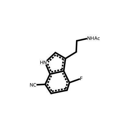 CC(=O)NCCc1c[nH]c2c(C#N)ccc(F)c12